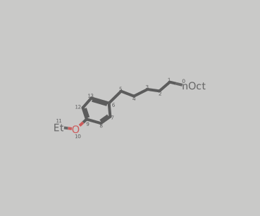 CCCCCCCCCCCCCc1ccc(OCC)cc1